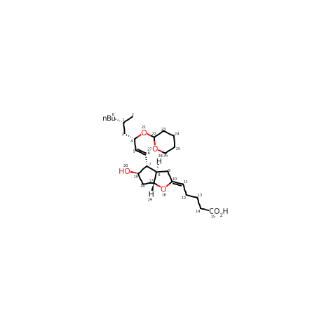 CCCC[C@H](C)C[C@@H](/C=C/[C@@H]1[C@H]2C/C(=C/CCCC(=O)O)O[C@@H]2C[C@H]1O)OC1CCCCO1